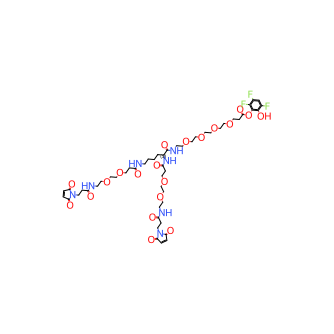 O=C(CCOCCOCCNC(=O)CCN1C(=O)C=CC1=O)NCCCC[C@H](NC(=O)CCOCCOCCNC(=O)CCN1C(=O)C=CC1=O)C(=O)NCCOCCOCCOCCOCCC(=O)Oc1c(O)c(F)cc(F)c1F